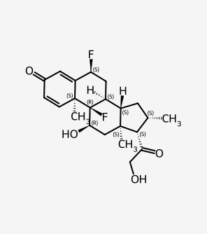 C[C@H]1C[C@H]2[C@@H]3C[C@H](F)C4=CC(=O)C=C[C@]4(C)[C@@]3(F)[C@H](O)C[C@]2(C)[C@H]1C(=O)CO